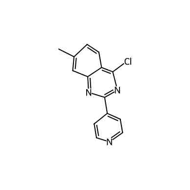 Cc1ccc2c(Cl)nc(-c3ccncc3)nc2c1